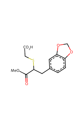 COC(=O)C(Cc1ccc2c(c1)OCO2)SCC(=O)O